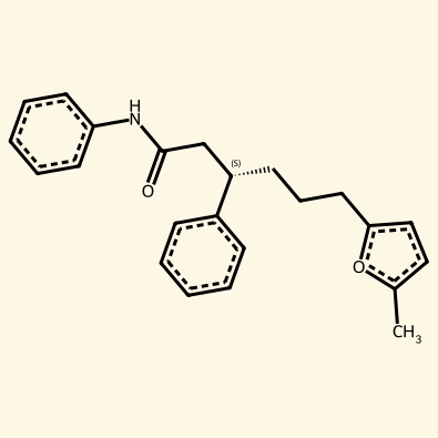 Cc1ccc(CCC[C@@H](CC(=O)Nc2ccccc2)c2ccccc2)o1